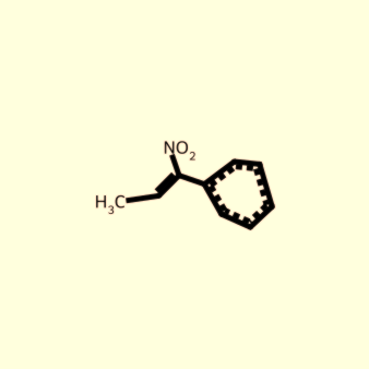 CC=C(c1ccccc1)[N+](=O)[O-]